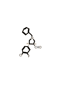 O=C[C@@H]1CN(Cc2ccccc2)C[C@H]1c1ccc(Cl)c(F)c1